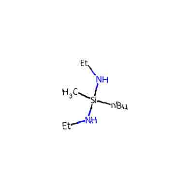 CCCC[Si](C)(NCC)NCC